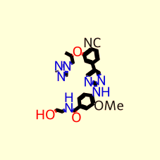 COc1cc(C(=O)NCCO)ccc1Nc1ncc(-c2ccc(C#N)c(OC(C)Cn3cncn3)c2)cn1